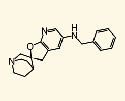 c1ccc(CNc2cnc3c(c2)C[C@@]2(CN4CCC2CC4)O3)cc1